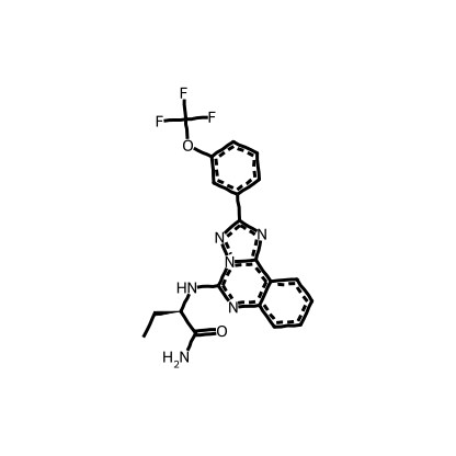 CC[C@@H](Nc1nc2ccccc2c2nc(-c3cccc(OC(F)(F)F)c3)nn12)C(N)=O